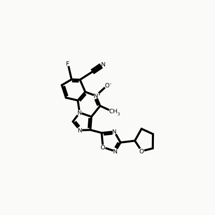 Cc1c2c(-c3nc(C4CCCO4)no3)ncn2c2ccc(F)c(C#N)c2[n+]1[O-]